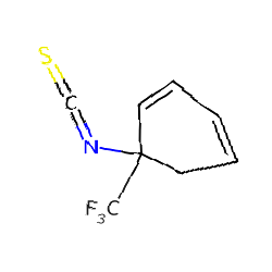 FC(F)(F)C1(N=C=S)C=CC=CC1